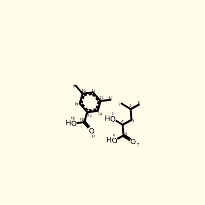 CC(C)CC(O)C(=O)O.Cc1cc(C)cc(C(=O)O)c1